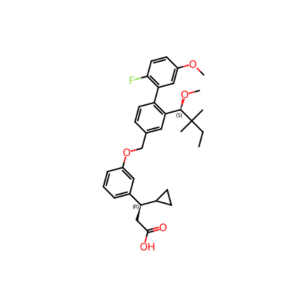 CCC(C)(C)[C@H](OC)c1cc(COc2cccc([C@H](CC(=O)O)C3CC3)c2)ccc1-c1cc(OC)ccc1F